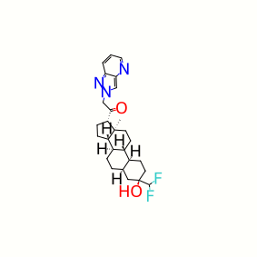 C[C@]12CC[C@H]3[C@@H](CC[C@@H]4C[C@@](O)(C(F)F)CC[C@@H]43)[C@@H]1CC[C@@H]2C(=O)Cn1cc2ncccc2n1